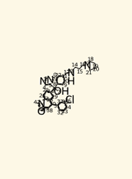 Cn1cncc1C(O)(c1ccc(CNCCCN2CCCC2)cc1)c1ccc2c(c1)c(-c1cccc(Cl)c1)cc(=O)n2C